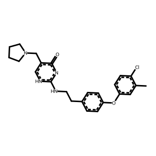 Cc1cc(Oc2ccc(CCNc3nc(=O)c(CN4CCCC4)c[nH]3)cc2)ccc1Cl